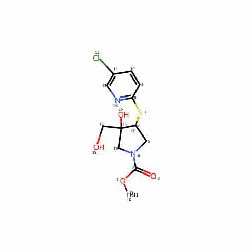 CC(C)(C)OC(=O)N1C[C@H](Sc2ccc(Cl)cn2)C(O)(CO)C1